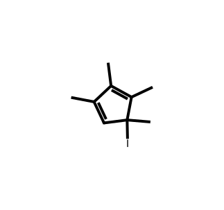 CC1=CC(C)(I)C(C)=C1C